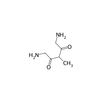 CC(C(=O)CN)C(=O)CN